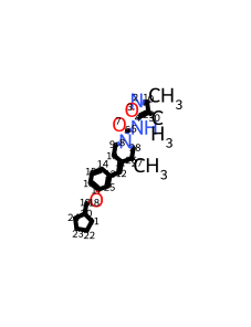 Cc1noc(NC(=O)N2CCC(=Cc3cccc(OCC4CCCC4)c3)C(C)C2)c1C